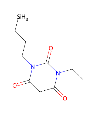 CCN1C(=O)CC(=O)N(CCC[SiH3])C1=O